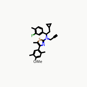 C#CCN(c1nc(-c2cc(C)c(OC)cc2C)c(C)s1)C(CC1CC1)c1ccc(C)c(F)c1